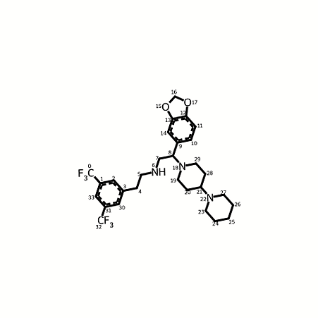 FC(F)(F)c1cc(CCNCC(c2ccc3c(c2)OCO3)N2CCC(N3CCCCC3)CC2)cc(C(F)(F)F)c1